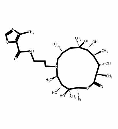 CC[C@H]1OC(=O)[C@H](C)[C@@H](O)[C@H](C)[C@@H](O)[C@](C)(O)C[C@@H](C)CN(CCCNC(=O)c2ocnc2C)[C@H](C)[C@@H](O)[C@]1(C)O